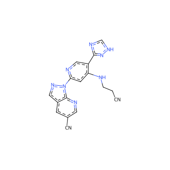 N#CCCNc1cc(-n2ncc3cc(C#N)cnc32)ncc1-c1nc[nH]n1